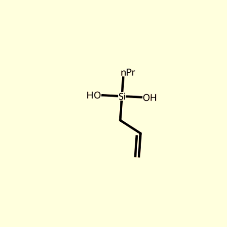 C=CC[Si](O)(O)CCC